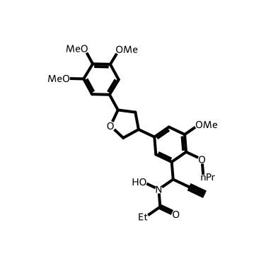 C#CC(c1cc(C2COC(c3cc(OC)c(OC)c(OC)c3)C2)cc(OC)c1OCCC)N(O)C(=O)CC